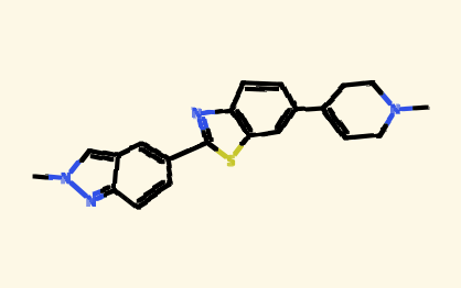 CN1CC=C(c2ccc3nc(-c4ccc5nn(C)cc5c4)sc3c2)CC1